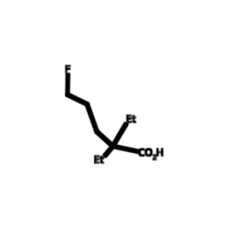 CCC(CC)(CCCF)C(=O)O